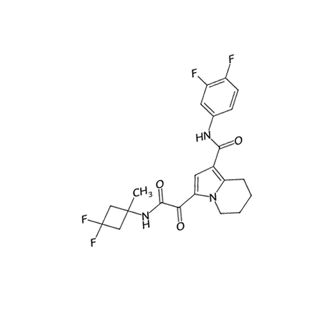 CC1(NC(=O)C(=O)c2cc(C(=O)Nc3ccc(F)c(F)c3)c3n2CCCC3)CC(F)(F)C1